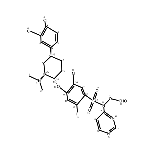 CN(C)[C@H]1C[C@@H](c2ccc(Cl)c(Cl)c2)CC[C@@H]1Oc1cc(F)c(S(=O)(=O)N(OC=O)c2ccncn2)cc1Cl